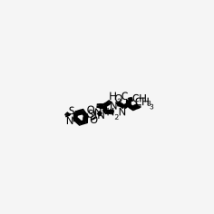 C/C=C\C(=C(C)C)C(N)C(=O)N1Cc2cn(S(=O)(=O)c3ccc4ncsc4c3)nc2C1